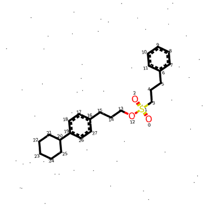 O=S(=O)(CCCc1ccccc1)OCCCc1ccc(C2CCCCC2)cc1